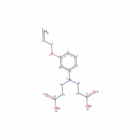 C=CCOc1cccc(N(CCC(=O)O)CCC(=O)O)c1